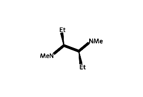 CC[C@H](NC)[C@H](CC)NC